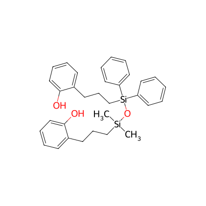 C[Si](C)(CCCc1ccccc1O)O[Si](CCCc1ccccc1O)(c1ccccc1)c1ccccc1